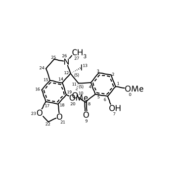 COc1ccc2c(c1O)C(=O)O[C@@H]2[C@@]1(I)c2c(cc3c(c2OC)OCO3)CCN1C